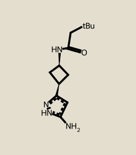 CC(C)(C)CC(=O)N[C@H]1C[C@@H](c2cc(N)[nH]n2)C1